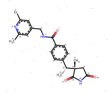 CCc1cc(CNC(=O)c2ccc([C@@H](C)[C@]3(C)CC(=O)NC3=O)cc2)cc(C)n1